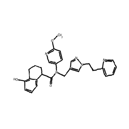 COc1ccc(N(Cc2cnn(CCc3ccccn3)c2)C(=O)C2CCCc3c(O)cccc32)cn1